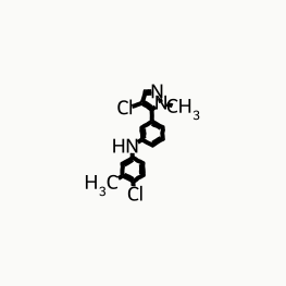 Cc1cc(Nc2cccc(-c3c(Cl)cnn3C)c2)ccc1Cl